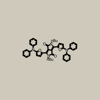 CCCCN1C(=O)C2=C(c3ccc(N(c4ccccc4)c4ccccc4)o3)N(CCCC)C(=O)C2=C1c1ccc(N(c2ccccc2)c2ccccc2)o1